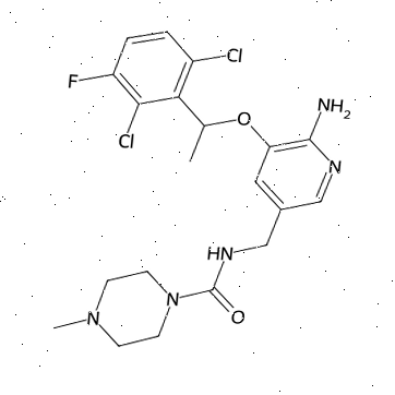 CC(Oc1cc(CNC(=O)N2CCN(C)CC2)cnc1N)c1c(Cl)ccc(F)c1Cl